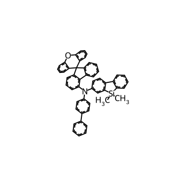 C[Si]1(C)c2ccccc2-c2ccc(N(c3ccc(-c4ccccc4)cc3)c3cccc4c3-c3ccccc3C43c4ccccc4Oc4ccccc43)cc21